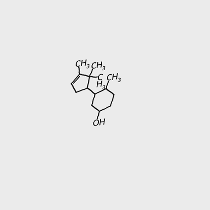 CC1=CCC(C2CC(O)CCC2C)C1(C)C